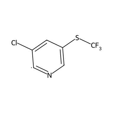 FC(F)(F)Sc1cn[c]c(Cl)c1